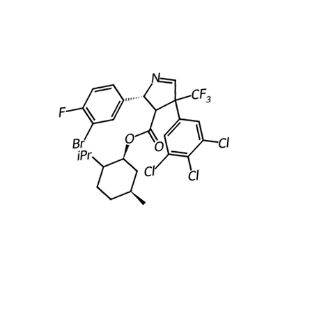 CC(C)C1CC[C@H](C)C[C@@H]1OC(=O)C1[C@H](c2ccc(F)c(Br)c2)N=CC1(c1cc(Cl)c(Cl)c(Cl)c1)C(F)(F)F